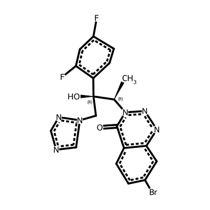 C[C@@H](n1nnc2cc(Br)ccc2c1=O)[C@](O)(Cn1cncn1)c1ccc(F)cc1F